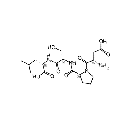 CC(C)C[C@H](NC(=O)[C@H](CO)NC(=O)[C@@H]1CCCN1C(=O)[C@@H](N)CC(=O)O)C(=O)O